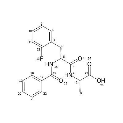 C[C@H](NC(=O)[C@@H](Cc1ccccc1F)NC(=O)c1ccccc1)C(=O)O